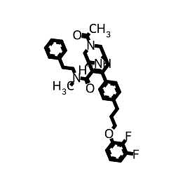 CC(=O)N1CC2CC(c3ccc(CCCOc4cccc(F)c4F)cc3)=C(C(=O)N(C)CCc3ccccc3)[C@@H](C1)N2